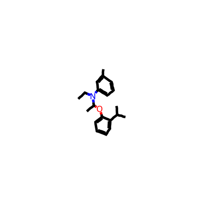 CCN(c1cccc(C)c1)C(C)Oc1ccccc1C(C)C